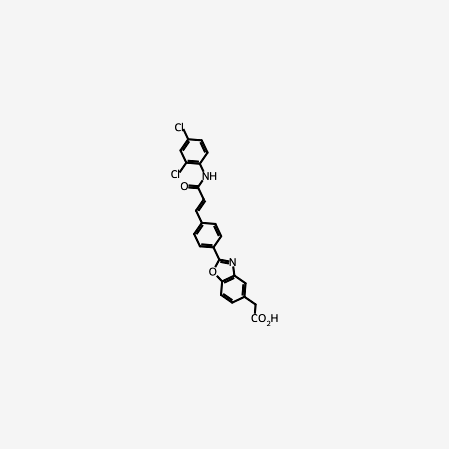 O=C(O)Cc1ccc2oc(-c3ccc(C=CC(=O)Nc4ccc(Cl)cc4Cl)cc3)nc2c1